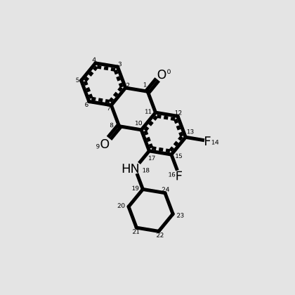 O=C1c2ccccc2C(=O)c2c1cc(F)c(F)c2NC1CCCCC1